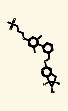 CC(=O)[C@@H]1[C@H]2Cc3cc(OCc4cccc(-c5c(C)cc(OCCCS(C)(=O)=O)cc5C)c4)ncc3[C@H]21